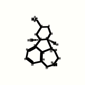 CC1CC[C@@H]2[C@H](C1)c1cccc3c1N2CCNC3